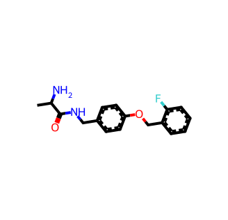 CC(N)C(=O)NCc1ccc(OCc2ccccc2F)cc1